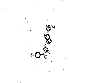 C[C@@H]1CC(Cn2ccc3cc(-c4cn[nH]c4)ncc32)CN1C(=O)c1ccc(F)cc1